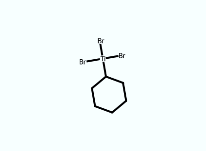 [Br][Ti]([Br])([Br])[CH]1CCCCC1